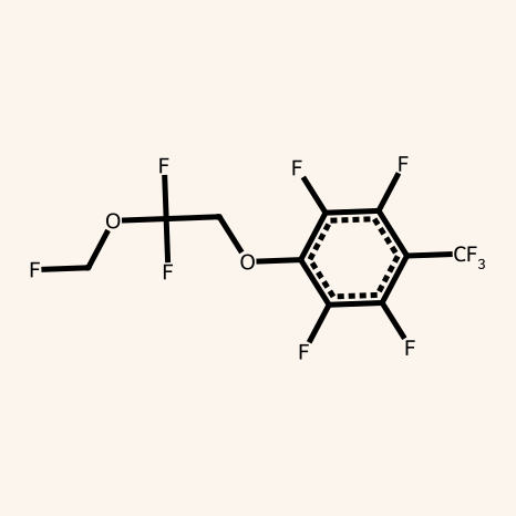 FCOC(F)(F)COc1c(F)c(F)c(C(F)(F)F)c(F)c1F